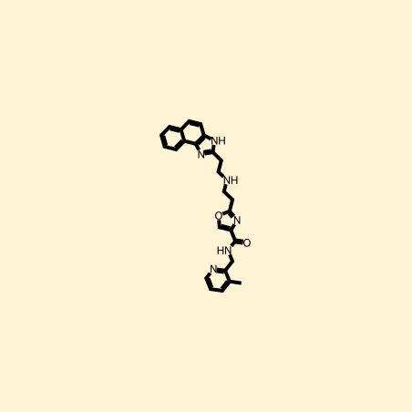 Cc1cccnc1CNC(=O)c1coc(CCNCCc2nc3c(ccc4ccccc43)[nH]2)n1